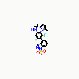 Cc1ccc2n1-c1c(cc(F)c(-c3cccc4c3cnn4S(C)(=O)=O)c1F)NC2(C)C